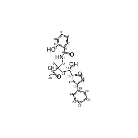 CC(CNC(=O)c1ccccc1O)(CC(O)c1cc(-c2ccccc2)no1)S(C)(=O)=O